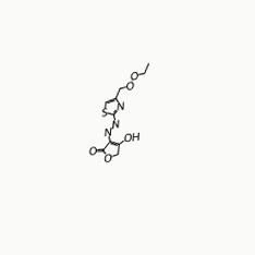 CCOOCc1csc(N=NC2=C(O)COC2=O)n1